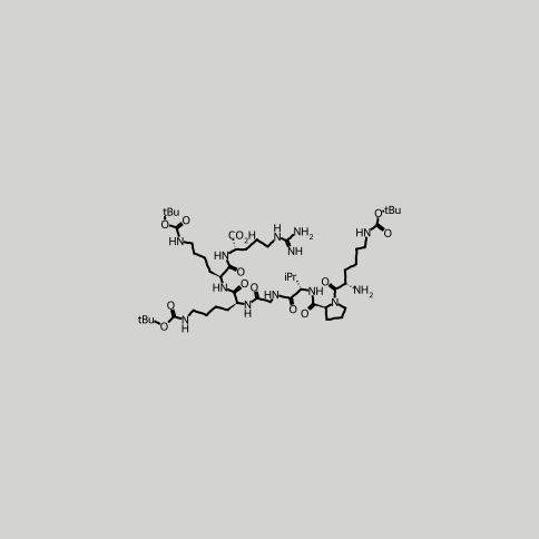 CC(C)[C@H](NC(=O)[C@@H]1CCCN1C(=O)[C@@H](N)CCCCNC(=O)OC(C)(C)C)C(=O)NCC(=O)N[C@@H](CCCCNC(=O)OC(C)(C)C)C(=O)N[C@@H](CCCCNC(=O)OC(C)(C)C)C(=O)N[C@@H](CCCNC(=N)N)C(=O)O